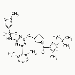 Cc1cccc(C)c1-c1cc(OC2CCN(C(=O)c3cc(C(C)(C)C)oc3C)C2)nc(NS(=O)(=O)c2cnn(C)c2)n1